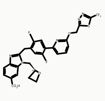 O=C(O)c1ccc2nc(Cc3cc(F)c(-c4cccc(OCc5nnc(C(F)(F)F)s5)n4)cc3F)n(C[C@@H]3CCO3)c2c1